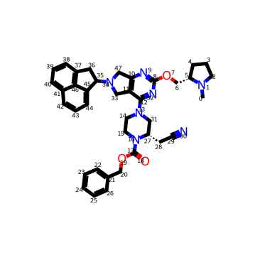 CN1CCC[C@H]1COc1nc2c(c(N3CCN(C(=O)OCc4ccccc4)[C@@H](CC#N)C3)n1)CN(C1Cc3cccc4cccc1c34)C2